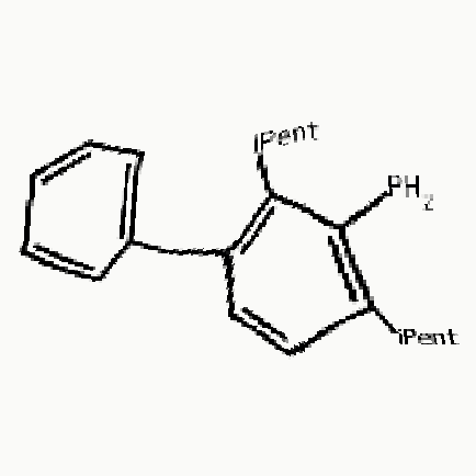 CCCC(C)c1ccc(-c2ccccc2)c(C(C)CCC)c1P